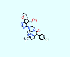 CO[C@@H]1C[C@@H](CO)c2c1ncnc2N1CCN(C(=O)C(c2ccc(Cl)cc2)C2CCC(C)(C)N2)CC1